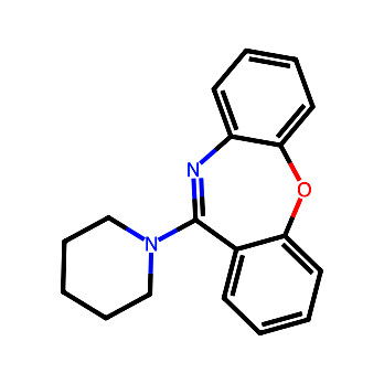 c1ccc2c(c1)N=C(N1CCCCC1)c1ccccc1O2